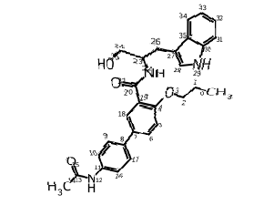 CCCOc1ccc(-c2ccc(NC(C)=O)cc2)cc1C(=O)NC(CO)Cc1c[nH]c2ccccc12